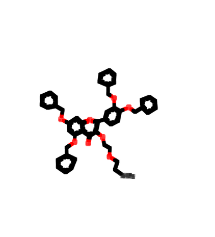 CC(=O)NCCOCCOc1c(-c2ccc(OCc3ccccc3)c(OCc3ccccc3)c2)oc2cc(OCc3ccccc3)cc(OCc3ccccc3)c2c1=O